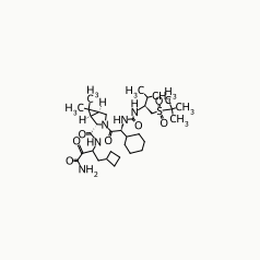 CC(C)[C@@H](CS(=O)(=O)C(C)(C)C)NC(=O)N[C@H](C(=O)N1C[C@H]2[C@@H]([C@H]1C(=O)NC(CC1CCC1)C(=O)C(N)=O)C2(C)C)C1CCCCC1